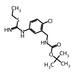 CCSC(=N)Nc1ccc(Cl)c(CNC(=O)OC(C)(C)C)c1